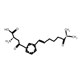 CN(C)C(=O)CCCC=Cc1cccc(C(=O)C[C@@H](N)C(=O)O)c1